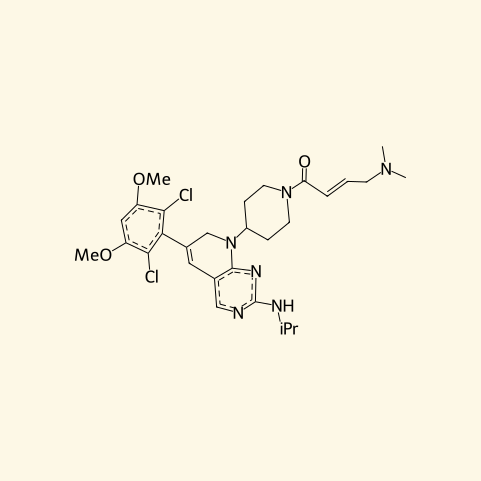 COc1cc(OC)c(Cl)c(C2=Cc3cnc(NC(C)C)nc3N(C3CCN(C(=O)/C=C/CN(C)C)CC3)C2)c1Cl